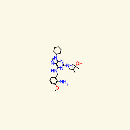 COc1cccc(CNc2nc(NCC(C)C(C)(C)O)nc3c2ncn3C2CCCCC2)c1N